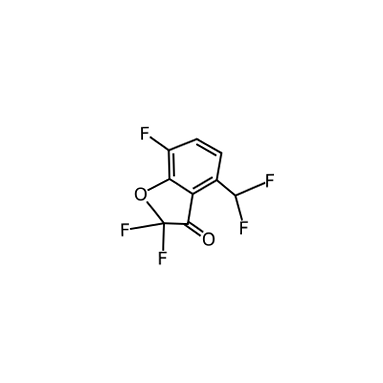 O=C1c2c(C(F)F)ccc(F)c2OC1(F)F